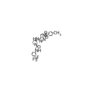 Cc1ccc(S(=O)(=O)n2ccc3c(N[C@H]4CCCN(C(=O)CNc5cccc(C(F)(F)F)c5)C4)ncnc32)cc1